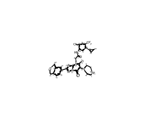 CCc1c(N2CCNCC2)c(=O)n2nc(-c3ccc4c(c3)COC4)nc2n1CC(=O)Nc1cc(C2CC2)c(C(F)(F)F)cc1Cl